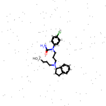 NC(=O)N(CCCN(CCCC(=O)O)[C@@H]1CCc2ccccc21)c1ccc(Br)cc1